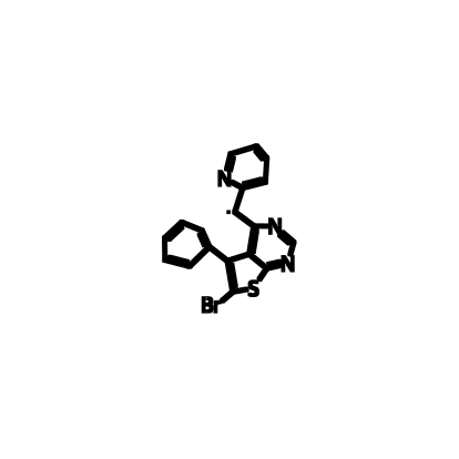 Brc1sc2ncnc([CH]c3ccccn3)c2c1-c1ccccc1